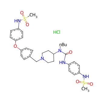 CCCCN(C(=O)Nc1ccc(NS(C)(=O)=O)cc1)C1CCN(Cc2ccc(Oc3ccc(NS(C)(=O)=O)cc3)cc2)CC1.Cl